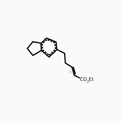 CCOC(=O)/C=C/CCc1ccc2c(c1)CCC2